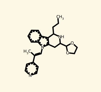 CCCC1NC(C2OCCO2)Cc2c1c1ccccc1n2C=C(C)c1ccncc1